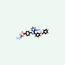 NC(=O)OC(=O)C1CCC(c2nc(-c3cccc(OCc4ccccc4)c3)c3c(N)ncnn23)CC1